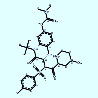 Cc1ccc(S(=O)(=O)N(C(=O)C2C[S+]([O-])CCN2)[C@@H](Cc2ccc(OC(=O)N(C)C)cc2)C(=O)OC(C)(C)C)cc1